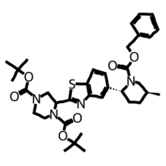 C[C@H]1CC[C@H](c2ccc3sc(C4CN(C(=O)OC(C)(C)C)CCN4C(=O)OC(C)(C)C)nc3c2)N(C(=O)OCc2ccccc2)C1